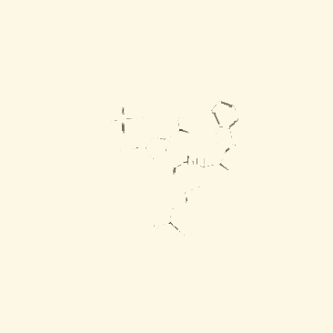 CC(=O)N1C[C@H](O)C[C@H]1C(=O)N[C@@H](CCCNC(=N)N)C(=O)c1nc2ccccc2s1.O=S(=O)(O)O